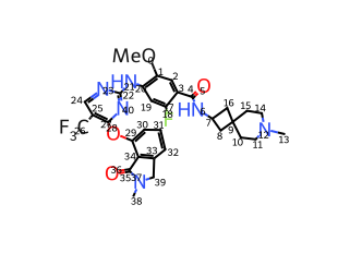 COc1cc(C(=O)NC2CC3(CCN(C)CC3)C2)c(F)cc1Nc1ncc(C(F)(F)F)c(Oc2cccc3c2C(=O)N(C)C3)n1